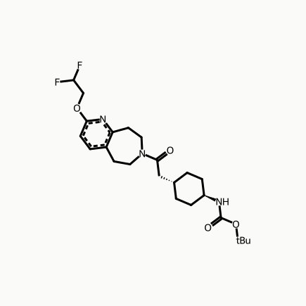 CC(C)(C)OC(=O)N[C@H]1CC[C@H](CC(=O)N2CCc3ccc(OCC(F)F)nc3CC2)CC1